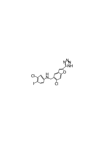 Clc1cc(NCc2cc3cc(-c4nnn[nH]4)oc3cc2Cl)ccc1I